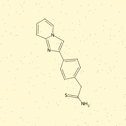 NC(=S)Cc1ccc(-c2cn3ccccc3n2)cc1